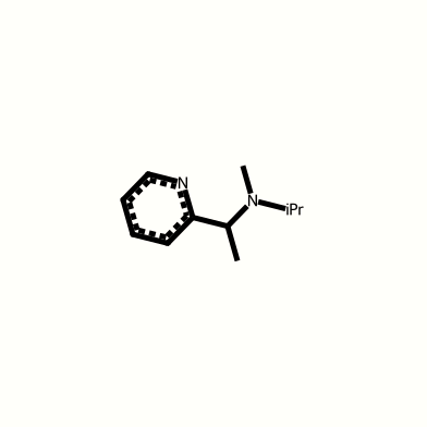 CC(C)N(C)C(C)c1ccccn1